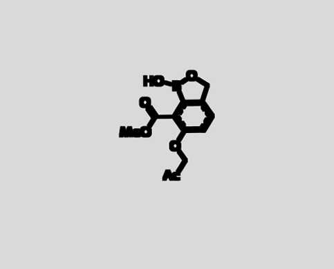 COC(=O)c1c(OCC(C)=O)ccc2c1B(O)OC2